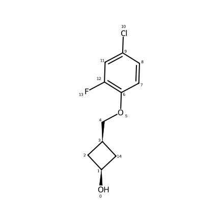 O[C@H]1C[C@@H](COc2ccc(Cl)cc2F)C1